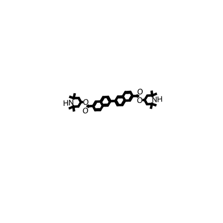 CC1(C)CC(OC(=O)c2ccc3cc(-c4ccc5cc(C(=O)OC6CC(C)(C)NC(C)(C)C6)ccc5c4)ccc3c2)CC(C)(C)N1